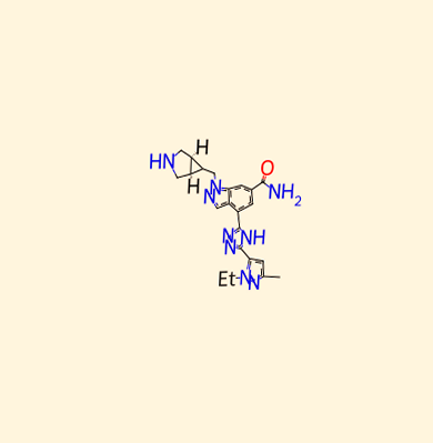 CCn1nc(C)cc1-c1nnc(-c2cc(C(N)=O)cc3c2cnn3CC2[C@H]3CNC[C@@H]23)[nH]1